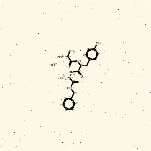 CCC[C@H](N)C(=O)N[C@@H](Cc1ccc(O)cc1)C(=O)N[C@H](C(=O)NCc1ccccc1)[C@@H](C)CC.Cl